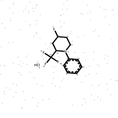 Cl.FC1CCN(c2ccccc2)C(C(F)(F)F)C1